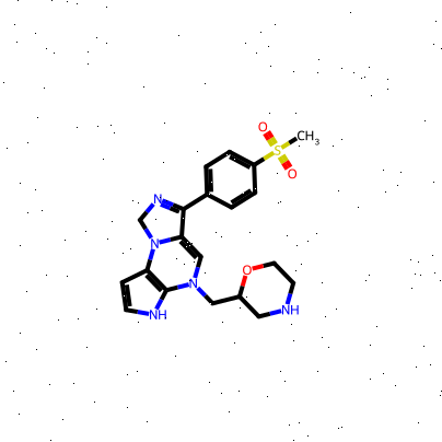 CS(=O)(=O)c1ccc(C2=NCN3C2=CN(CC2CNCCO2)c2[nH]ccc23)cc1